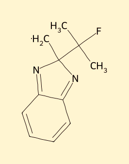 [CH2]C1(C(C)(C)F)N=c2ccccc2=N1